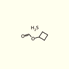 O=COC1CCC1.S